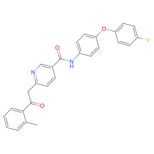 Cc1ccccc1C(=O)Cc1ccc(C(=O)Nc2ccc(Oc3ccc(F)cc3)cc2)cn1